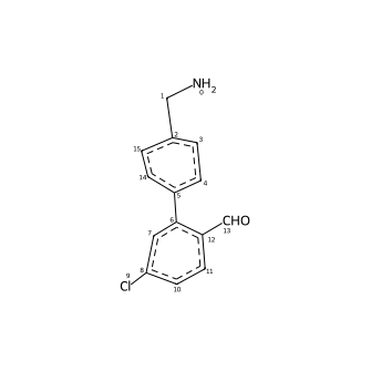 NCc1ccc(-c2cc(Cl)ccc2C=O)cc1